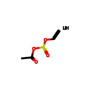 C=COS(=O)OC(C)=O.[LiH]